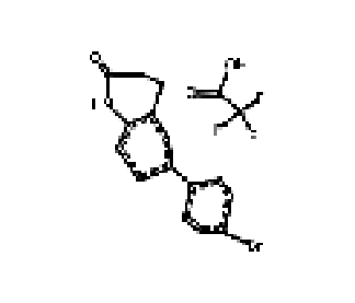 O=C(O)C(F)(F)F.O=C1CCc2cc(-c3ccc(Br)cc3)ccc2N1